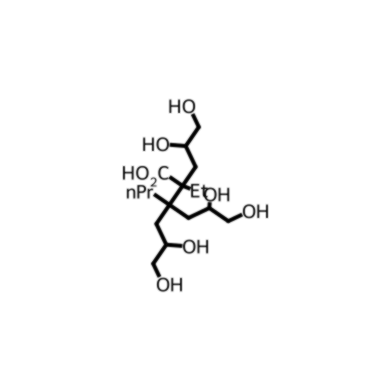 CCCC(CC(O)CO)(CC(O)CO)C(CC)(CC(O)CO)C(=O)O